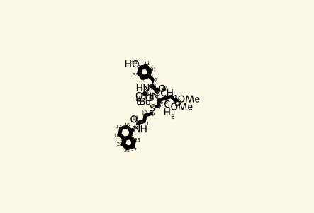 COC(CC(C)(C)C(CSCCCC(=O)N[C@@H]1CCCc2ccccc21)NC(=O)[C@H](Cc1ccc(O)cc1)NC(=O)OC(C)(C)C)OC